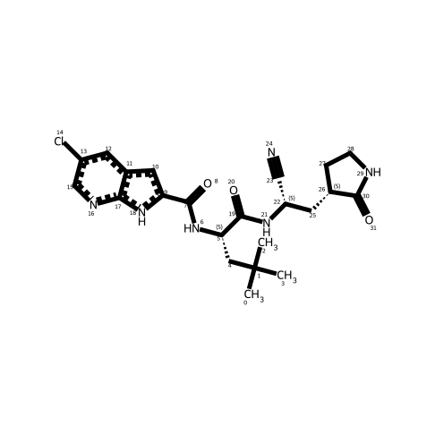 CC(C)(C)C[C@H](NC(=O)c1cc2cc(Cl)cnc2[nH]1)C(=O)N[C@H](C#N)C[C@@H]1CCNC1=O